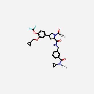 CC(=O)N1CC(c2ccc(OC(F)F)c(OCC3CC3)c2)CC1C(=O)NCc1cccc(C(=O)N(C)C2CC2)c1